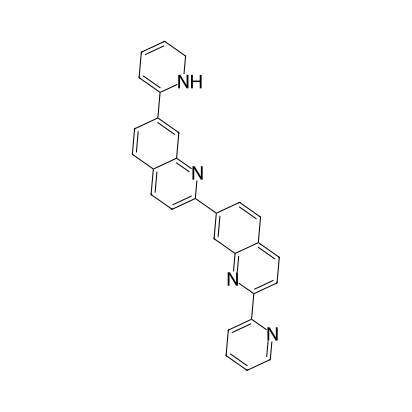 C1=CCNC(c2ccc3ccc(-c4ccc5ccc(-c6ccccn6)nc5c4)nc3c2)=C1